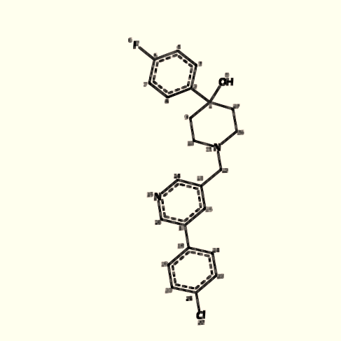 OC1(c2ccc(F)cc2)CCN(Cc2cncc(-c3ccc(Cl)cc3)c2)CC1